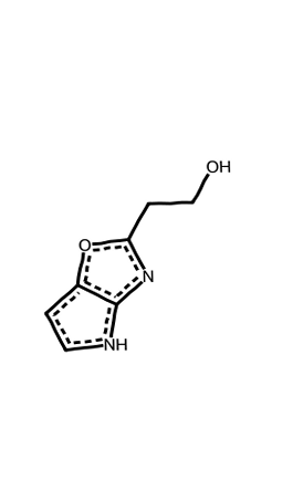 OCCc1nc2[nH]ccc2o1